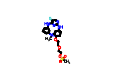 CNc1cccc(Nc2nc(Nc3ccc(OCCOCCOS(C)(=O)=O)cc3)ncc2F)c1